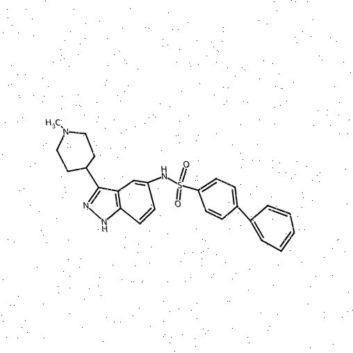 CN1CCC(c2n[nH]c3ccc(NS(=O)(=O)c4ccc(-c5ccccc5)cc4)cc23)CC1